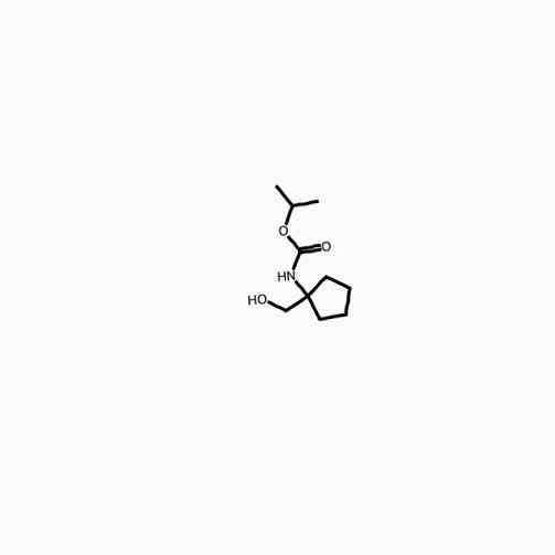 CC(C)OC(=O)NC1(CO)CCCC1